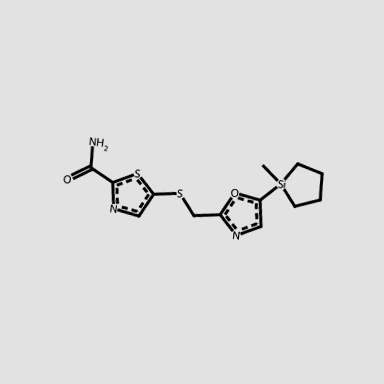 C[Si]1(c2cnc(CSc3cnc(C(N)=O)s3)o2)CCCC1